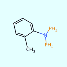 Cc1ccccc1N(P)P